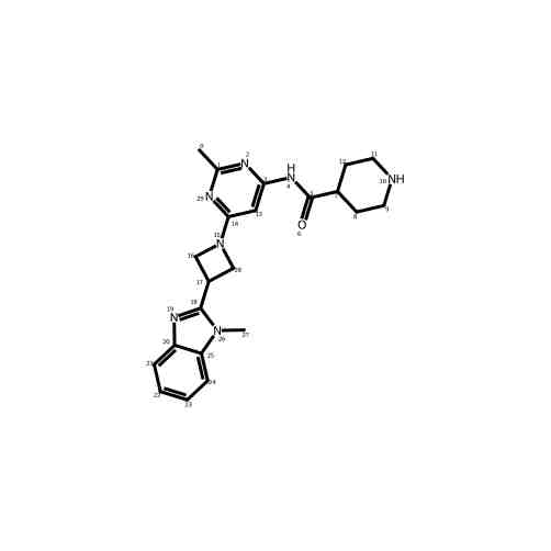 Cc1nc(NC(=O)C2CCNCC2)cc(N2CC(c3nc4ccccc4n3C)C2)n1